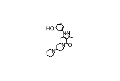 Cc1nn(C2=CC=CC(O)C2)c(C)c1C(=O)N1CCC(N2CCCCC2)CC1